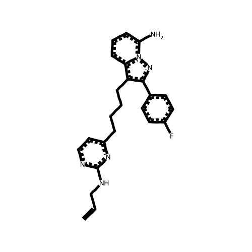 C=CCNc1nccc(CCCCc2c(-c3ccc(F)cc3)nn3c(N)cccc23)n1